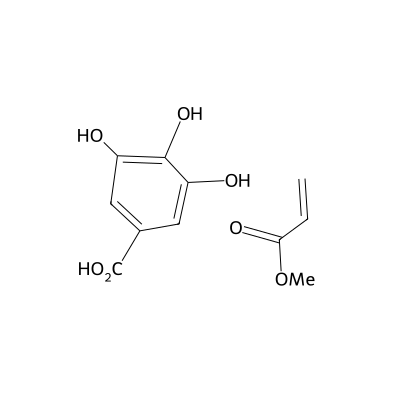 C=CC(=O)OC.O=C(O)c1cc(O)c(O)c(O)c1